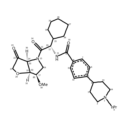 CCCN1CCC(c2ccc(C(=O)N[C@H](C(=O)N3C[C@@H](OC)[C@H]4OCC(=O)[C@H]43)C3CCCCC3)cc2)CC1